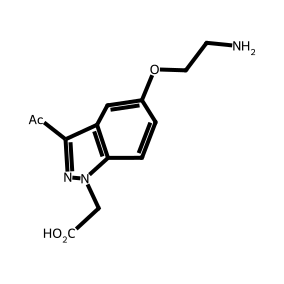 CC(=O)c1nn(CC(=O)O)c2ccc(OCCN)cc12